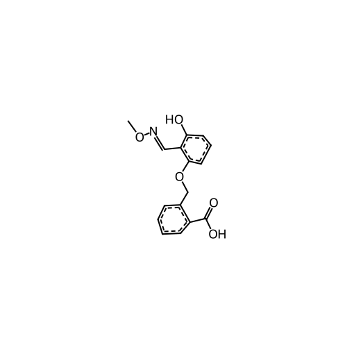 CON=Cc1c(O)cccc1OCc1ccccc1C(=O)O